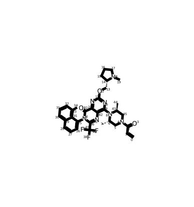 C=CC(=O)N1C[C@H](C)N(c2nc(OC[C@@H]3CCCN3C)nc3c(=O)n(-c4cccc5cccc(C)c45)c(C(F)(F)F)nc23)[C@@H](C)C1